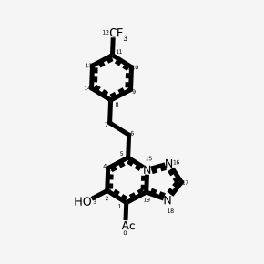 CC(=O)c1c(O)cc(CCc2ccc(C(F)(F)F)cc2)n2ncnc12